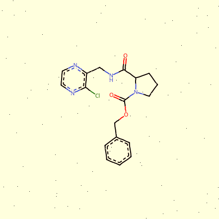 O=C(NCc1nccnc1Cl)C1CCCN1C(=O)OCc1ccccc1